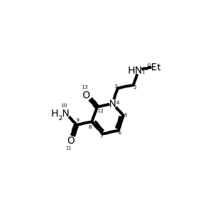 CCNCCn1cccc(C(N)=O)c1=O